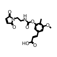 COc1cc(/C=C/C(=O)O)cc(OC(=O)NCCN2C(=O)C=CC2=O)c1C